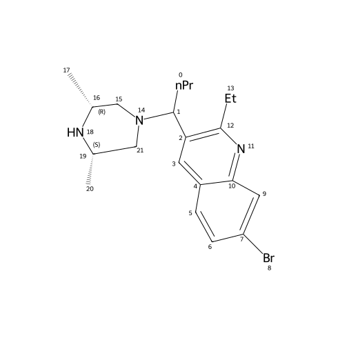 CCCC(c1cc2ccc(Br)cc2nc1CC)N1C[C@@H](C)N[C@@H](C)C1